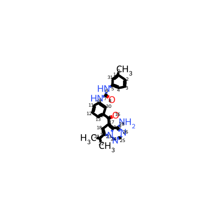 Cc1cccc(NC(=O)Nc2cccc(C(=O)c3cc(C(C)C)n4ncnc(N)c34)c2)c1